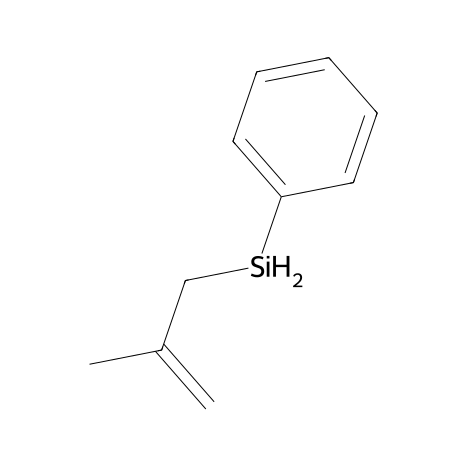 C=C(C)C[SiH2]c1ccccc1